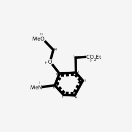 CCOC(=O)Cc1cccc(NC)c1OCOC